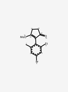 CCc1cc(Br)cc(C)c1C1=C(OC)CCC1=O